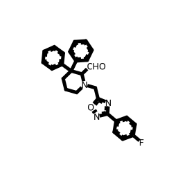 O=CC1N(Cc2nc(-c3ccc(F)cc3)no2)CCCC1(c1ccccc1)c1ccccc1